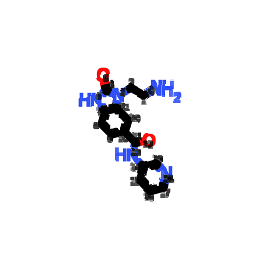 NCCn1c(=O)[nH]c2ccc(C(=O)Nc3cccnc3)cc21